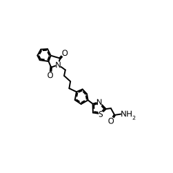 NC(=O)Cc1nc(-c2ccc(CCCCN3C(=O)c4ccccc4C3=O)cc2)cs1